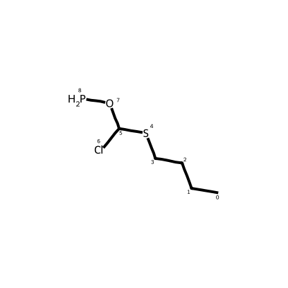 CCCCSC(Cl)OP